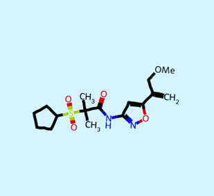 C=C(COC)c1cc(NC(=O)C(C)(C)S(=O)(=O)C2CCCC2)no1